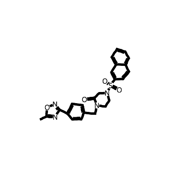 Cc1nc(-c2ccc(CN3CCN(S(=O)(=O)c4ccc5ccccc5c4)CC3=O)cc2)no1